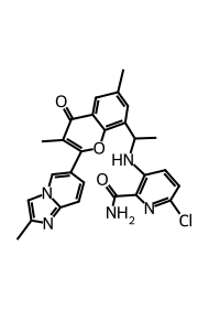 Cc1cc(C(C)Nc2ccc(Cl)nc2C(N)=O)c2oc(-c3ccc4nc(C)cn4c3)c(C)c(=O)c2c1